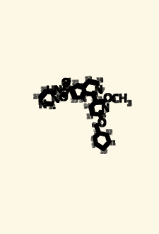 COc1nc(OCC2CCCCC2)ccc1-c1nccc2cc(S(=O)(=O)Nc3ccncn3)ccc12